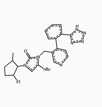 CCCCc1cn(C2C(C)CCC2CC)c(=O)n1Cc1cnccc1-c1ccccc1-c1nnn[nH]1